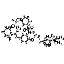 CC(=Cc1ccc2c(c1)N(S(=O)(=O)c1cccc(C(F)(F)F)c1)CC(CCn1cc([Si](C)(C)C)nn1)O2)c1c(F)cccc1Cl